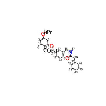 Cc1cc(OC(C)C)cc(OCc2cccc(CN(C)C(=O)Cc3ccccc3)c2)c1C(=O)O